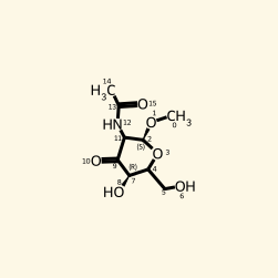 CO[C@H]1OC(CO)[C@@H](O)C(=O)C1NC(C)=O